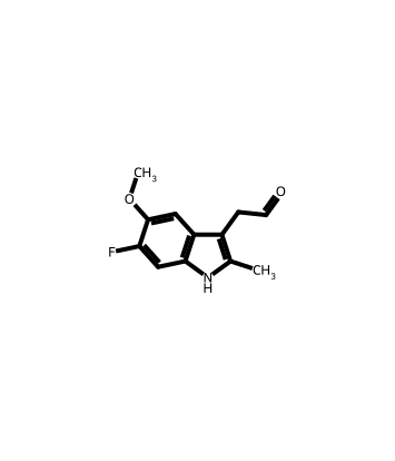 COc1cc2c(CC=O)c(C)[nH]c2cc1F